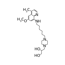 COc1cc(NCCCCCCN2CCN(CC(O)CO)CC2)c2nccc(C)c2c1